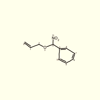 C=CCOC(c1ccccc1)[N+](=O)[O-]